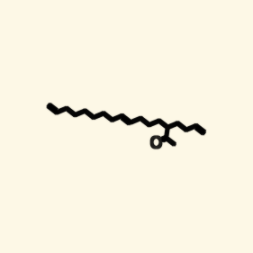 C=CCCCCCC/C=C/CCCC(CCC=C)C(C)=O